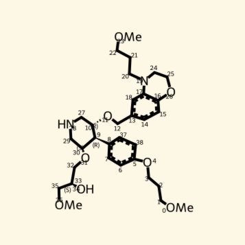 COCCCOc1ccc([C@@H]2[C@@H](OCc3ccc4c(c3)N(CCCOC)CCO4)CNC[C@H]2OC[C@@H](O)COC)cc1